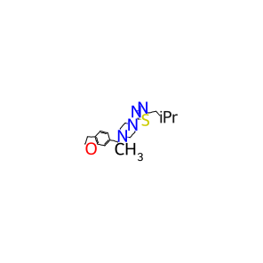 CC(C)Cc1nnc(N2CCN(C(C)c3ccc4c(c3)OCC4)CC2)s1